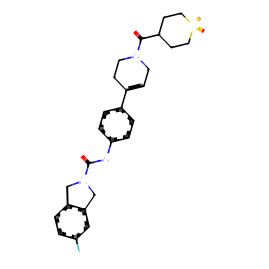 O=C(Nc1ccc(C2=CCN(C(=O)C3CCS(=O)(=O)CC3)CC2)cc1)N1Cc2ccc(F)cc2C1